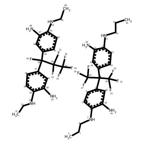 CCCNc1ccc(C(c2ccc(NCCC)c(N)c2)(C(F)(F)F)C(F)(F)F)cc1N.CCNc1ccc(C(F)(c2ccc(NCC)c(N)c2)C(F)(F)C(F)(F)F)cc1N